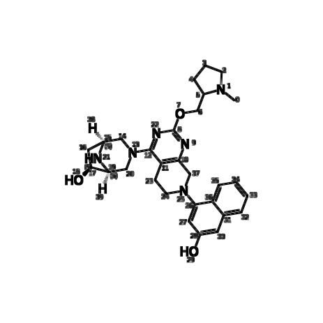 CN1CCCC1COc1nc2c(c(N3C[C@@H]4C[C@H](O)[C@H](C3)N4)n1)CCN(c1cc(O)cc3ccccc13)C2